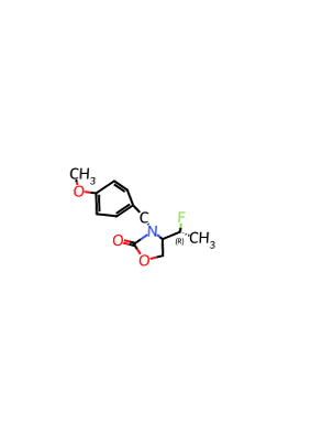 COc1ccc(CN2C(=O)OCC2[C@@H](C)F)cc1